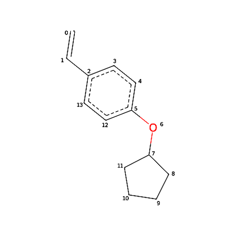 [CH]=Cc1ccc(OC2CCCC2)cc1